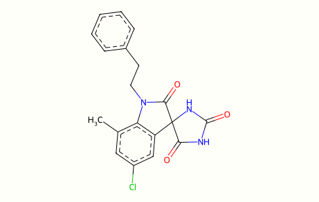 Cc1cc(Cl)cc2c1N(CCc1ccccc1)C(=O)C21NC(=O)NC1=O